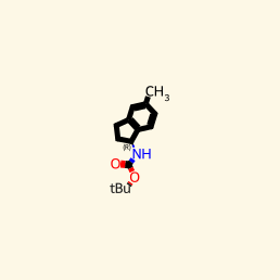 Cc1ccc2c(c1)CC[C@H]2NC(=O)OC(C)(C)C